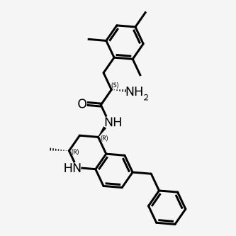 Cc1cc(C)c(C[C@H](N)C(=O)N[C@@H]2C[C@@H](C)Nc3ccc(Cc4ccccc4)cc32)c(C)c1